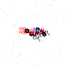 CC(C[C@H](NC(=O)[C@H](O)Cc1ccc(O)c(O)c1)C(=O)N1CCC[C@H]1C(=O)O[C@@H]1CC2CCC1(C)C2(C)C)c1ccccc1